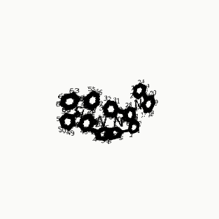 c1ccc(-c2ccccc2-n2c3ccc(-n4c5ccccc5c5ccccc54)cc3c3cccc(-n4c5ccccc5c5ccc([Si](c6ccccc6)(c6ccccc6)c6ccccc6)cc54)c32)cc1